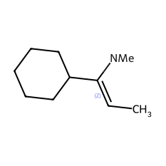 C/C=C(\NC)C1CCCCC1